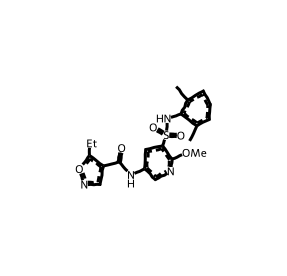 CCc1oncc1C(=O)Nc1cnc(OC)c(S(=O)(=O)Nc2c(C)cccc2C)c1